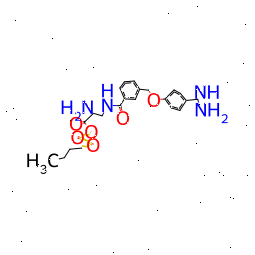 CCCCS(=O)(=O)OC(=O)C(N)CNC(=O)c1cccc(COc2ccc(C(=N)N)cc2)c1